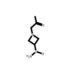 CC(=O)CN1CC([S+](N)[O-])C1